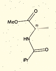 COC(=O)[C@H](C)NC(=O)C(C)C